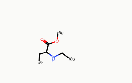 CC(C)C[C@H](NCC(C)(C)C)C(=O)OC(C)(C)C